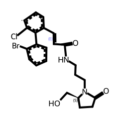 O=C(/C=C/c1cc[c]c(Cl)c1-c1ccccc1Br)NCCCN1C(=O)CC[C@H]1CO